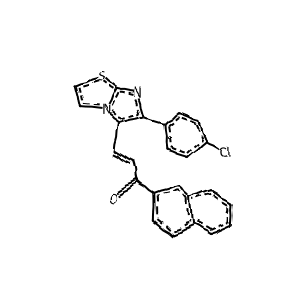 O=C(/C=C/c1c(-c2ccc(Cl)cc2)nc2sccn12)c1ccc2ccccc2c1